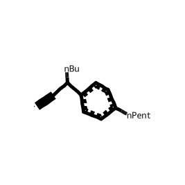 [C]#CC(CCCC)c1ccc(CCCCC)cc1